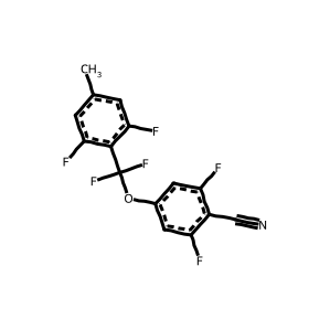 Cc1cc(F)c(C(F)(F)Oc2cc(F)c(C#N)c(F)c2)c(F)c1